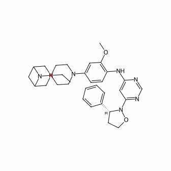 CCN1CC2CC(C1)N2C1CCN(c2ccc(Nc3cc(N4OCC[C@@H]4c4ccccc4)ncn3)c(OC)c2)CC1